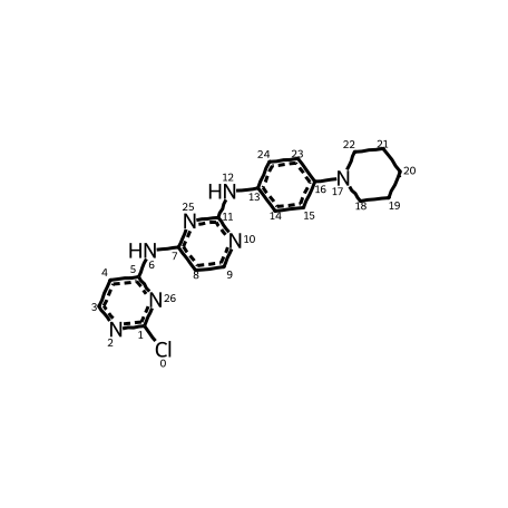 Clc1nccc(Nc2ccnc(Nc3ccc(N4CC[CH]CC4)cc3)n2)n1